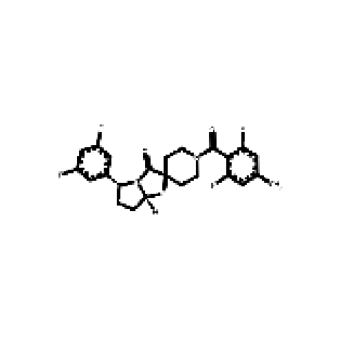 Cc1cc(F)c(C(=O)N2CCC3(CC2)O[C@@H]2CC[C@@H](c4cc(F)cc(F)c4)N2C3=O)c(F)c1